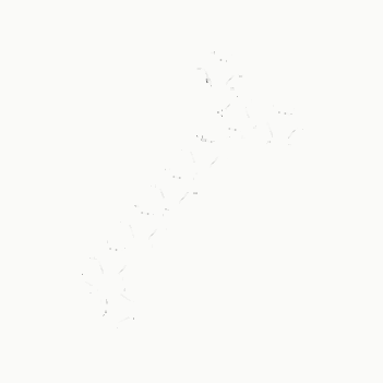 O=S1(=O)c2ccccc2-c2cc(-c3ccc(-c4ccc(-c5ccc(-c6cc(-c7ccccc7)cc(-c7ccccn7)n6)nc5)cc4)cc3)ccc21